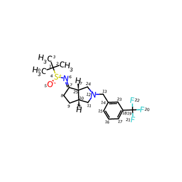 CC(C)(C)[S@+]([O-])N=C1CC[C@H]2CN(Cc3cccc(C(F)(F)F)c3)C[C@@H]12